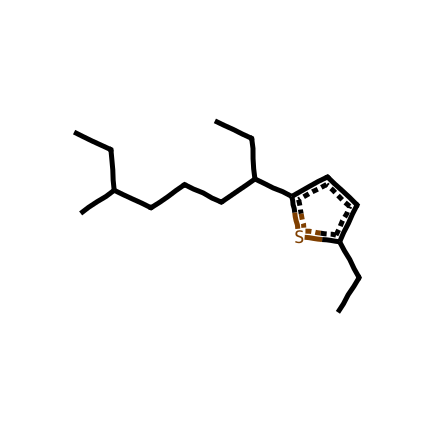 CCc1ccc(C(CC)CCCC(C)CC)s1